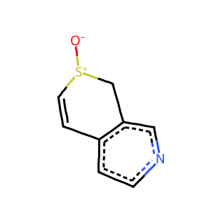 [O-][S+]1C=Cc2ccncc2C1